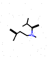 C=C(C)CCN(C)C(=C)C(C)C